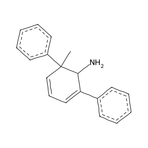 CC1(c2ccccc2)C=CC=C(c2ccccc2)C1N